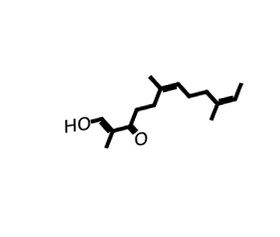 CC=C(C)CCC=C(C)CCC(=O)C(C)=CO